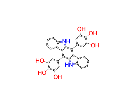 Oc1cc(-c2c3[nH]c4ccccc4c3c(-c3cc(O)c(O)c(O)c3)c3[nH]c4ccccc4c23)cc(O)c1O